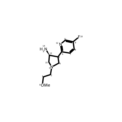 COCCN1CC(c2ccc(F)cn2)[C@H](N)C1